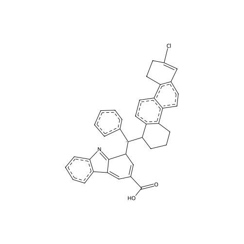 O=C(O)C1=CC([C](c2ccccc2)C2CCCc3c2ccc2c4c(ccc32)C=C(Cl)CC4)C2=Nc3ccccc3C2=C1